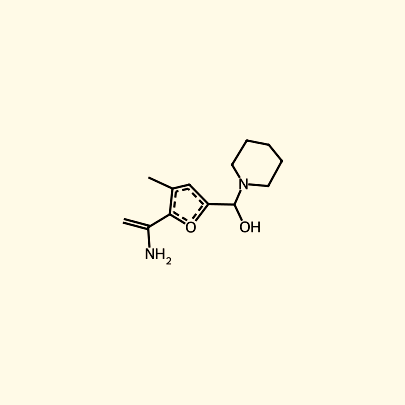 C=C(N)c1oc(C(O)N2CCCCC2)cc1C